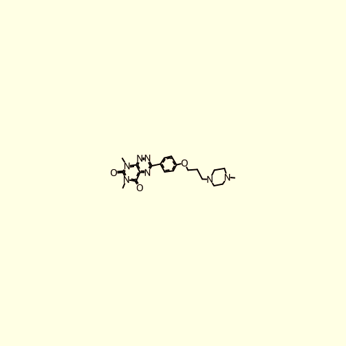 CN1CCN(CCCOc2ccc(-c3nnc4c(n3)c(=O)n(C)c(=O)n4C)cc2)CC1